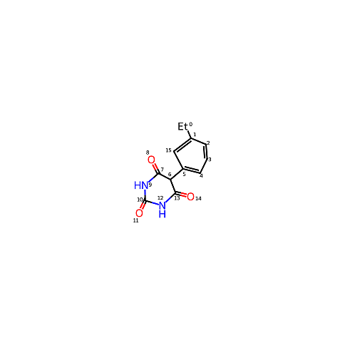 CCc1cccc(C2C(=O)NC(=O)NC2=O)c1